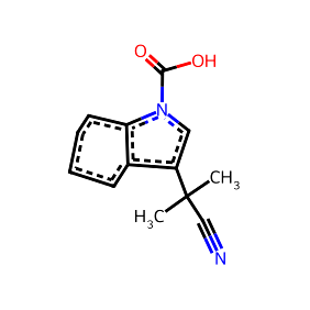 CC(C)(C#N)c1cn(C(=O)O)c2ccccc12